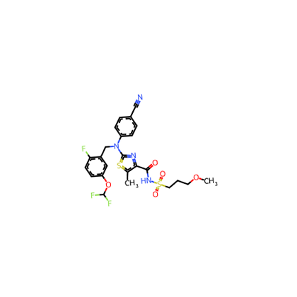 COCCCS(=O)(=O)NC(=O)c1nc(N(Cc2cc(OC(F)F)ccc2F)c2ccc(C#N)cc2)sc1C